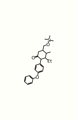 CCC1C(c2ccc(Oc3ccccc3)cc2)C(=O)CC(CO[Si](C)(C)C)C1C